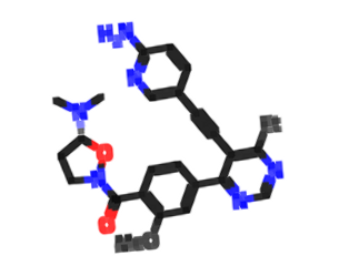 CCc1ncnc(-c2ccc(C(=O)N3CC[C@H](N(C)C)O3)c(OC)c2)c1C#Cc1ccc(N)nc1